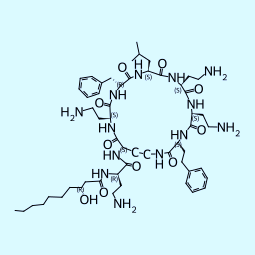 CCCCCCC[C@@H](O)CC(=O)N[C@H](CCN)C(=O)N[C@H]1CCNC(=O)[C@H](CCc2ccccc2)NC(=O)[C@H](CCN)NC(=O)[C@H](CCN)NC(=O)[C@H](CC(C)C)NC(=O)[C@@H](Cc2ccccc2)NC(=O)[C@H](CCN)NC1=O